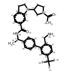 CC(=O)N1CCC(N2CCc3ccc(C(=O)N[C@H](C)c4ccc(-c5cc(C(F)(F)F)ccc5CN)cc4)cc32)C1